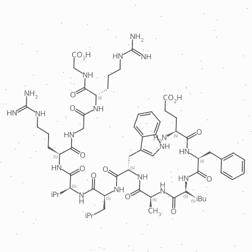 CC[C@H](C)[C@H](NC(=O)[C@H](Cc1ccccc1)NC(=O)[C@@H](N)CCC(=O)O)C(=O)N[C@@H](C)C(=O)N[C@@H](Cc1c[nH]c2ccccc12)C(=O)N[C@@H](CC(C)C)C(=O)N[C@H](C(=O)N[C@@H](CCCNC(=N)N)C(=O)NCC(=O)N[C@@H](CCCNC(=N)N)C(=O)NCC(=O)O)C(C)C